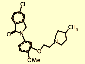 COc1ccc(N2Cc3cc(Cl)ccc3C2=O)cc1OCCN1CCC(C)CC1